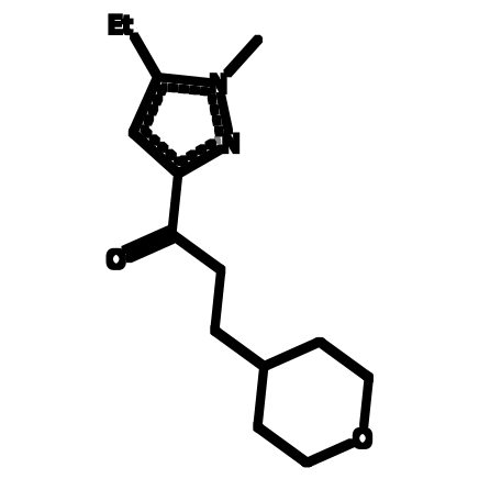 CCc1cc(C(=O)CCC2CCOCC2)nn1C